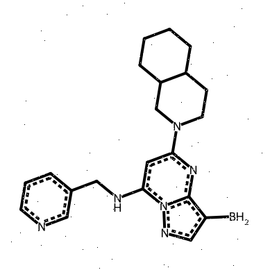 Bc1cnn2c(NCc3cccnc3)cc(N3CCC4CCCCC4C3)nc12